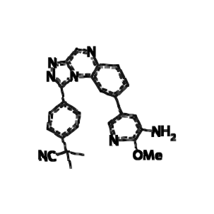 COc1ncc(-c2ccc3ncc4nnc(-c5ccc(C(C)(C)C#N)cc5)n4c3c2)cc1N